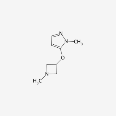 CN1CC(Oc2ccnn2C)C1